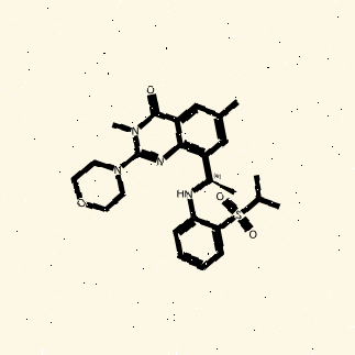 Cc1cc([C@@H](C)Nc2ccccc2S(=O)(=O)C(C)C)c2nc(N3CCOCC3)n(C)c(=O)c2c1